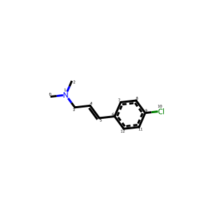 CN(C)CC=Cc1ccc(Cl)cc1